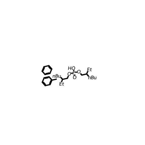 CCCCC(CC)COP(=O)(O)OCC(CC)CCCC.Cc1ccccc1.c1ccccc1